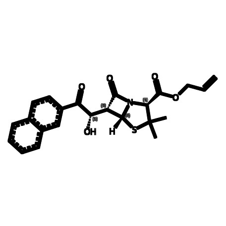 C=CCOC(=O)[C@@H]1N2C(=O)[C@@H]([C@H](O)C(=O)c3ccc4ccccc4c3)[C@H]2SC1(C)C